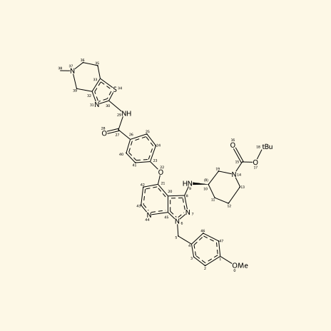 COc1ccc(Cn2nc(N[C@@H]3CCCN(C(=O)OC(C)(C)C)C3)c3c(Oc4ccc(C(=O)Nc5nc6c(s5)CCN(C)C6)cc4)ccnc32)cc1